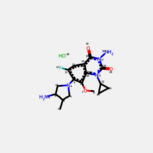 COc1c(N2CC(C)C(N)C2)c(F)cc2c(=O)n(N)c(=O)n(C3CC3)c12.Cl